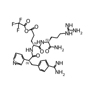 N=C(N)NCCC[C@H](NC(=O)[C@H](CCC(=O)OC(=O)C(F)(F)F)NC(=O)[C@@H](Cc1ccc(C(=N)N)cc1)c1cccnc1)C(N)=O